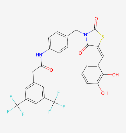 O=C(Cc1cc(C(F)(F)F)cc(C(F)(F)F)c1)Nc1ccc(CN2C(=O)SC(=Cc3cccc(O)c3O)C2=O)cc1